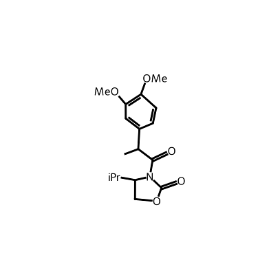 COc1ccc(C(C)C(=O)N2C(=O)OCC2C(C)C)cc1OC